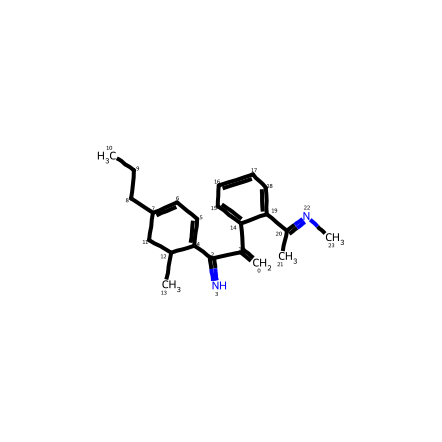 C=C(C(=N)C1=CC=C(CCC)CC1C)c1ccccc1/C(C)=N/C